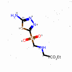 CCOC(=O)CNCS(=O)(=O)c1nnc(N)s1